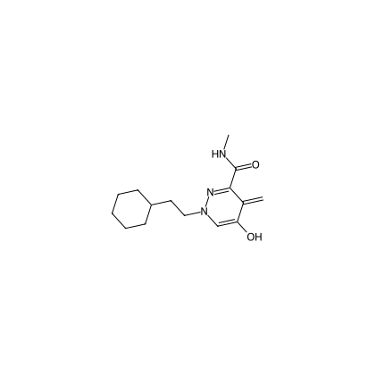 C=C1C(O)=CN(CCC2CCCCC2)N=C1C(=O)NC